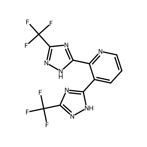 FC(F)(F)c1n[nH]c(-c2cccnc2-c2nc(C(F)(F)F)n[nH]2)n1